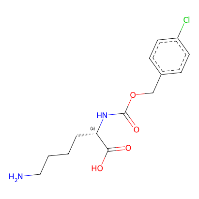 NCCCC[C@H](NC(=O)OCc1ccc(Cl)cc1)C(=O)O